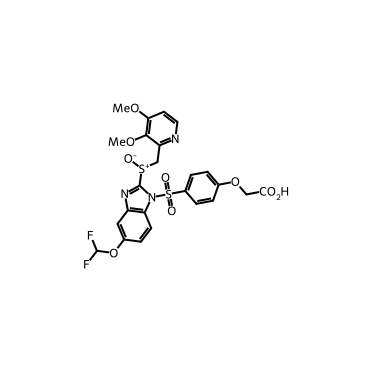 COc1ccnc(C[S+]([O-])c2nc3cc(OC(F)F)ccc3n2S(=O)(=O)c2ccc(OCC(=O)O)cc2)c1OC